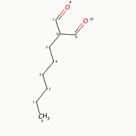 CCCCCCC(C=O)C=O